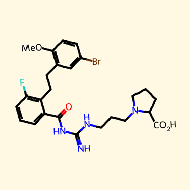 COc1ccc(Br)cc1CCc1c(F)cccc1C(=O)NC(=N)NCCCN1CCCC1C(=O)O